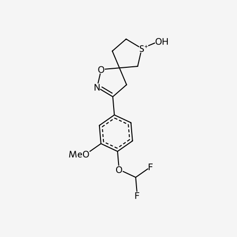 COc1cc(C2=NOC3(CC[S+](O)C3)C2)ccc1OC(F)F